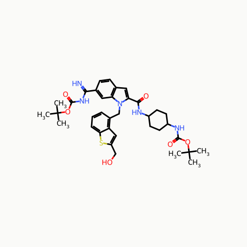 CC(C)(C)OC(=O)NC(=N)c1ccc2cc(C(=O)NC3CCC(NC(=O)OC(C)(C)C)CC3)n(Cc3cccc4sc(CO)cc34)c2c1